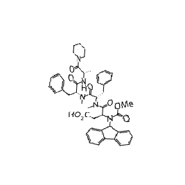 COC(=O)N(C1c2ccccc2-c2ccccc21)[C@@H](CC(=O)O)C(=O)N(C)[C@@H](Cc1ccccc1)C(=O)N(C)[C@@H](Cc1ccccc1)C(=O)N[C@@H](C)C(=O)N1CCCCC1